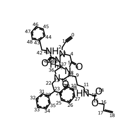 C#CCN1CC(=O)N2[C@@H](CCCNC(=O)OCC=C)C(=O)N(CC(c3ccccc3)c3ccccc3)C[C@@H]2N1C(=O)NCc1ccccc1